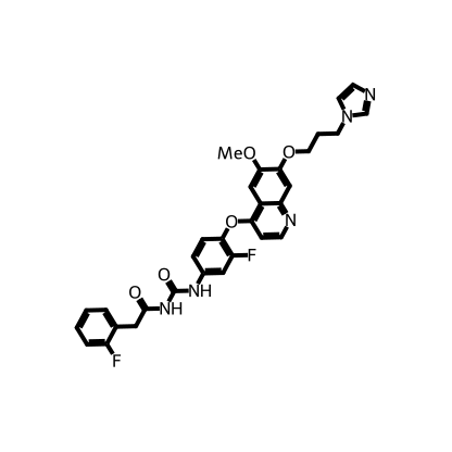 COc1cc2c(Oc3ccc(NC(=O)NC(=O)Cc4ccccc4F)cc3F)ccnc2cc1OCCCn1ccnc1